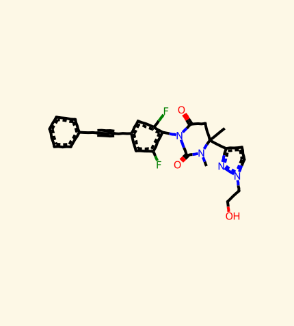 CN1C(=O)N(c2c(F)cc(C#Cc3ccccc3)cc2F)C(=O)CC1(C)c1ccn(CCO)n1